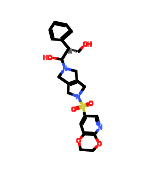 O=S(=O)(c1cnc2c(c1)OCCO2)N1CC2=C(CN(C(O)[C@@H](CO)c3ccccc3)C2)C1